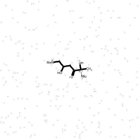 CCCC[C@@](C)(CCC)C(=O)CC(O)CNC